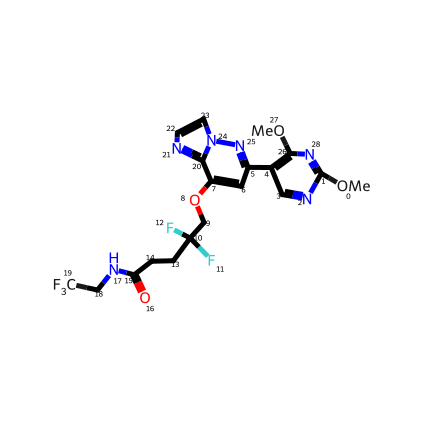 COc1ncc(-c2cc(OCC(F)(F)CCC(=O)NCC(F)(F)F)c3nccn3n2)c(OC)n1